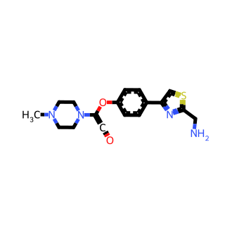 CN1CCN(C(=C=O)Oc2ccc(-c3csc(CN)n3)cc2)CC1